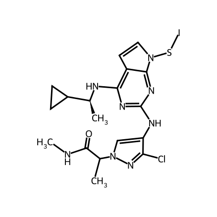 CNC(=O)C(C)n1cc(Nc2nc(N[C@@H](C)C3CC3)c3ccn(SI)c3n2)c(Cl)n1